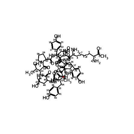 CC(=O)[C@@H](N)CSSCC(N)C(=O)NC(Cc1ccc(O)cc1)C(=O)N1CCCC1C(=O)NC(Cc1ccc(O)cc1)C(=O)NC(CC(=O)O)C(=O)NC(C(=O)N1CCCC1C(=O)NC(CC(=O)O)C(=O)NC(Cc1ccc(O)cc1)C(=O)NC(C)C(N)=O)C(C)C